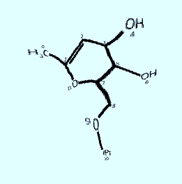 CC1=CC(O)C(O)C(COC(C)C)O1